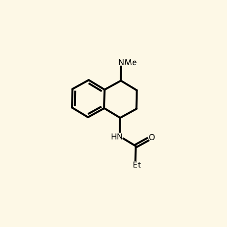 CCC(=O)NC1CCC(NC)c2ccccc21